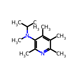 Cc1nc(C)c(N(C)C(C)C)c(C)c1C